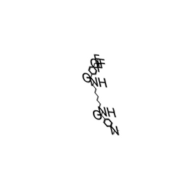 CN(C)c1ccc(C(=O)NCCCCCCCNC(=O)c2ccc(OC(F)(F)F)cc2)cc1